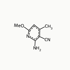 COc1cc(C)c(C#N)c(N)n1